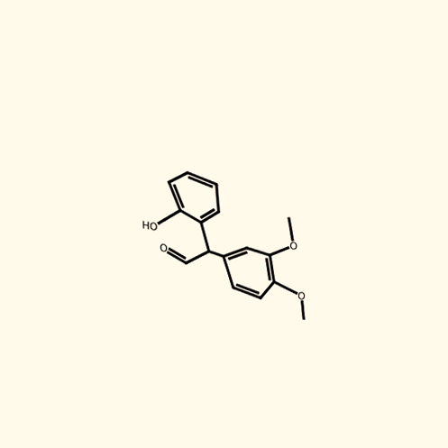 COc1ccc(C(C=O)c2ccccc2O)cc1OC